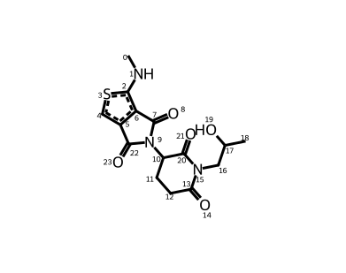 CNc1scc2c1C(=O)N(C1CCC(=O)N(CC(C)O)C1=O)C2=O